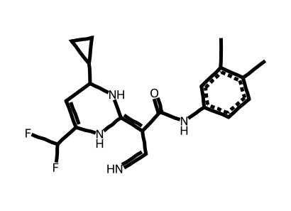 Cc1ccc(NC(=O)/C(C=N)=C2/NC(C(F)F)=CC(C3CC3)N2)cc1C